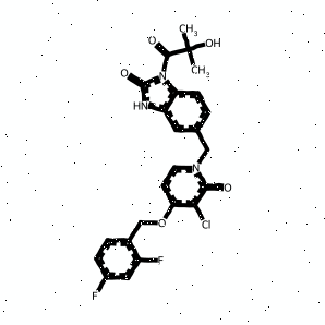 CC(C)(O)C(=O)n1c(=O)[nH]c2cc(Cn3ccc(OCc4ccc(F)cc4F)c(Cl)c3=O)ccc21